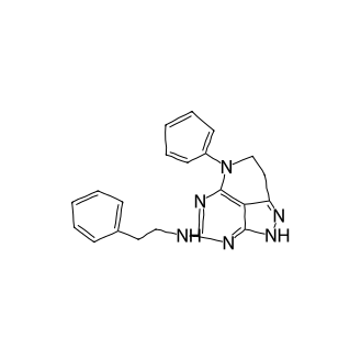 c1ccc(CCNc2nc3c4c(n[nH]c4n2)CCN3c2ccccc2)cc1